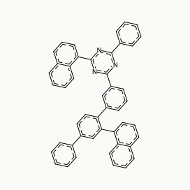 c1ccc(-c2ccc(-c3cccc(-c4nc(-c5ccccc5)nc(-c5cccc6ccccc56)n4)c3)c(-c3cccc4ccccc34)c2)cc1